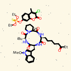 CCC(=O)CCCCC[C@@H]1NC(=O)[C@H]2CCCCN2C(=O)[C@H]([C@@H](C)CC)NC(=O)[C@H](Cc2cn(OC)c3ccccc23)NC1=O.CCOP(=S)(OCC)Oc1ccc2c(C)c(Cl)c(=O)oc2c1